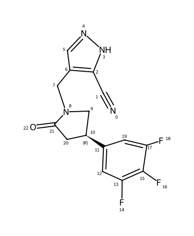 N#Cc1[nH]ncc1CN1C[C@@H](c2cc(F)c(F)c(F)c2)CC1=O